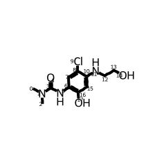 CN(C)C(=O)Nc1cc(Cl)c(NCCO)cc1O